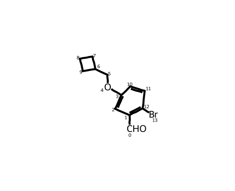 O=Cc1cc(OCC2CCC2)ccc1Br